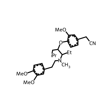 CCC(C(CC(C)C)Oc1ccc(CC#N)cc1OC)N(C)CCc1ccc(OC)c(OC)c1